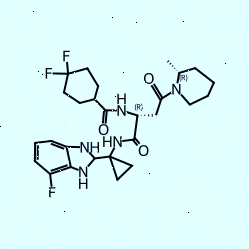 C[C@@H]1CCCCN1C(=O)C[C@@H](NC(=O)C1CCC(F)(F)CC1)C(=O)NC1(C2Nc3cccc(F)c3N2)CC1